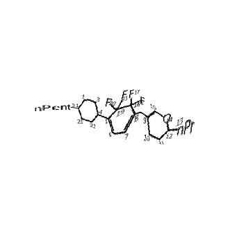 CCCCCC1CCC(C2=CC=C(C3CCC(CCC)OC3)C(F)(F)C2(F)F)CC1